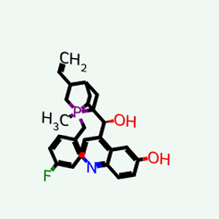 C=CC1CP2(C)(Cc3ccc(F)cc3)CCC1CC2[C@@H](O)c1ccnc2ccc(O)cc12